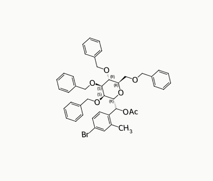 CC(=O)OC(c1ccc(Br)cc1C)[C@H]1O[C@H](COCc2ccccc2)[C@@H](OCc2ccccc2)[C@H](OCc2ccccc2)[C@@H]1OCc1ccccc1